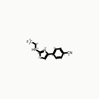 N#Cc1ccc(-c2csc(NCC(F)(F)F)n2)cc1